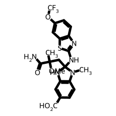 COC(C)(CC1(Nc2nc3ccc(OC(F)(F)F)cc3s2)Nc2cc(C(=O)O)ccc2N1C)C(N)=O